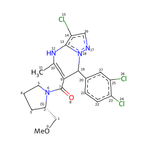 COC[C@@H]1CCCN1C(=O)C1=C(C)Nc2c(Cl)cnn2C1c1ccc(Cl)c(Cl)c1